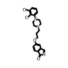 O=C1N=Cc2cc(OCCCN3CCN(c4cccc(Cl)c4Cl)CC3)ccc21